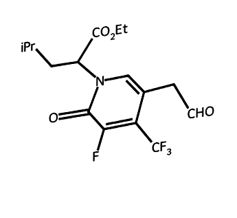 CCOC(=O)C(CC(C)C)n1cc(CC=O)c(C(F)(F)F)c(F)c1=O